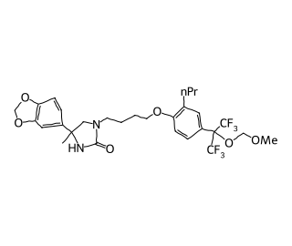 CCCc1cc(C(OCOC)(C(F)(F)F)C(F)(F)F)ccc1OCCCCN1CC(C)(c2ccc3c(c2)OCO3)NC1=O